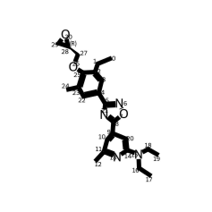 CCc1cc(-c2noc(-c3cc(C)nc(N(CC)CC)c3)n2)cc(C)c1OC[C@H]1CO1